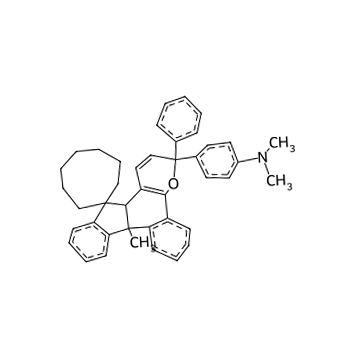 CN(C)c1ccc(C2(c3ccccc3)C=CC3=C(O2)c2ccccc2C2(C)c4ccccc4C4(CCCCCCC4)C32)cc1